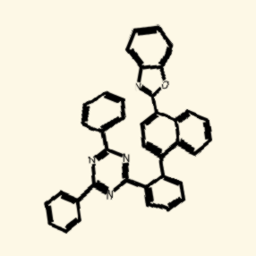 c1ccc(-c2nc(-c3ccccc3)nc(-c3ccccc3-c3ccc(-c4nc5ccccc5o4)c4ccccc34)n2)cc1